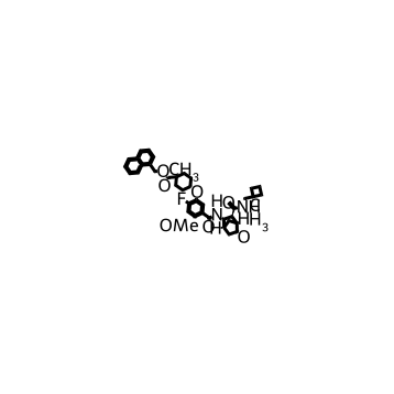 COc1cc(F)c(OC2CCC(C)(C(=O)OCc3cccc4ccccc34)CC2)cc1C(=O)N[C@@H]1[C@H]2CC(=O)[C@H](C2)[C@@H]1C(=O)NCC1(C)CCC1